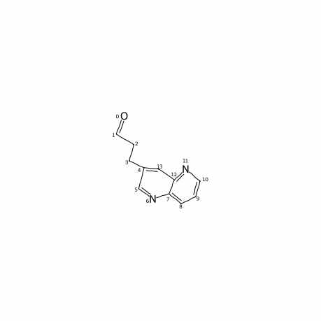 O=CCCc1cnc2cccnc2c1